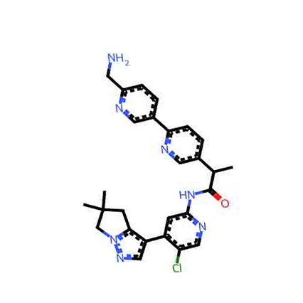 CC(C(=O)Nc1cc(-c2cnn3c2CC(C)(C)C3)c(Cl)cn1)c1ccc(-c2ccc(CN)nc2)nc1